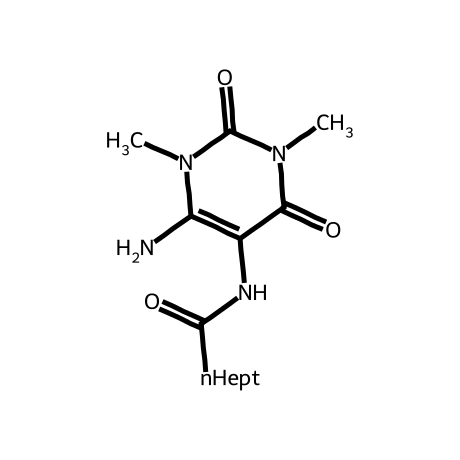 CCCCCCCC(=O)Nc1c(N)n(C)c(=O)n(C)c1=O